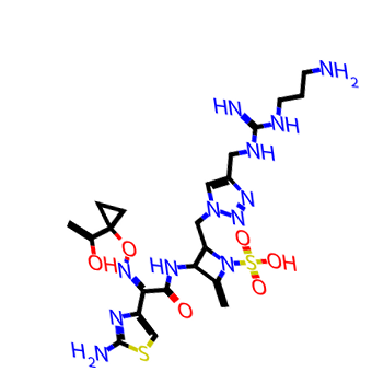 C=C1C(NC(=O)/C(=N\OC2(C(=C)O)CC2)c2csc(N)n2)C(Cn2cc(CNC(=N)NCCCN)nn2)N1S(=O)(=O)O